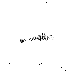 O=[N+]([O-])c1ccc2cc(-c3nc(COc4ccc(CCCCn5ccnn5)cc4)co3)[nH]c2c1